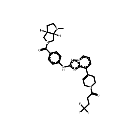 CN1CC[C@H]2CN(C(=O)c3ccc(Nc4nc5c(C6=CCN(C(=O)CCC(F)(F)F)CC6)cccn5n4)cc3)C[C@H]21